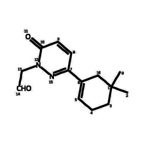 CC1(C)CCC=C(c2ccc(=O)n(CC=O)n2)C1